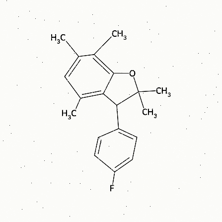 Cc1cc(C)c2c(c1C)OC(C)(C)C2c1ccc(F)cc1